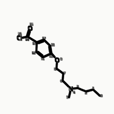 CCCCN(C)CCCOc1ccc(C(=O)Cl)cc1